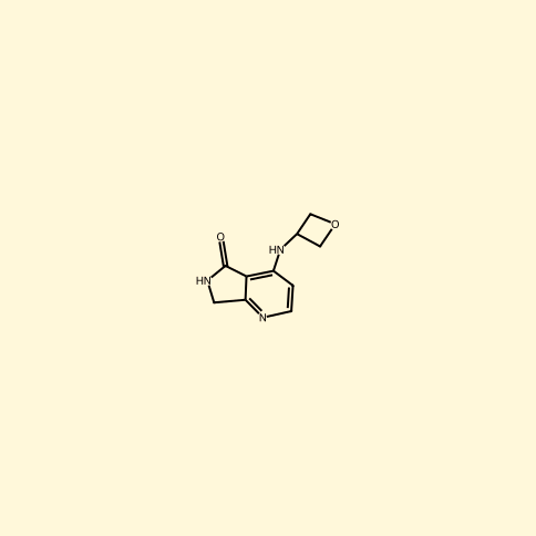 O=C1NCc2nccc(NC3COC3)c21